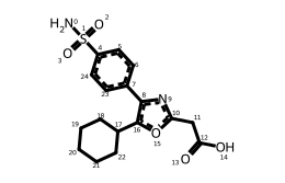 NS(=O)(=O)c1ccc(-c2nc(CC(=O)O)oc2C2CCCCC2)cc1